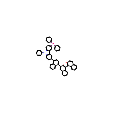 O=P(c1ccccc1)(c1ccccc1)c1ccc2c(c1)c1cc(-c3ccc(-c4cc5ccccc5c5c4oc4ccc6ccccc6c45)c4ccccc34)ccc1n2-c1ccccc1